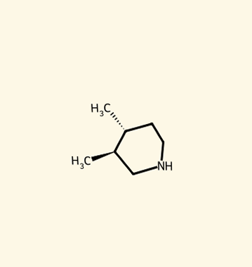 C[C@@H]1CCNC[C@H]1C